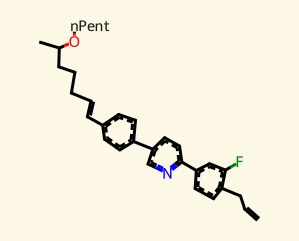 C=CCc1ccc(-c2ccc(-c3ccc(C=CCCCC(C)OCCCCC)cc3)cn2)cc1F